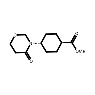 COC(=O)[C@H]1CC[C@H](N2COCCC2=O)CC1